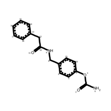 NC(=O)Oc1ccc(CNC(=O)[CH]c2ccccc2)cc1